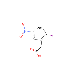 O=C(O)Cc1cc([N+](=O)[O-])ccc1I